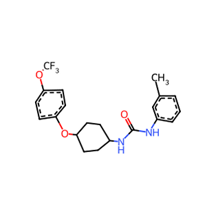 Cc1cccc(NC(=O)NC2CCC(Oc3ccc(OC(F)(F)F)cc3)CC2)c1